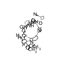 CCn1c(-c2cccnc2[C@H](C)OC)c2c3cc(ccc31)-c1csc(n1)C[C@H](NC(=O)[C@H]1CCC1C#N)C(=O)N1CCC[C@H](N1)C(=O)OCC(C)(C)C2